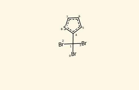 BrC(Br)(Br)c1cccs1